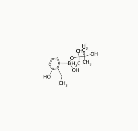 CCc1c(O)cccc1B(O)OC(C)(C)C(C)(C)O